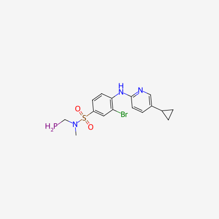 CN(CP)S(=O)(=O)c1ccc(Nc2ccc(C3CC3)cn2)c(Br)c1